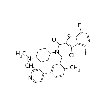 Cc1ccc(-c2ccncc2)cc1CN(C(=O)c1sc2c(F)ccc(F)c2c1Cl)[C@H]1CC[C@H](N(C)C)CC1